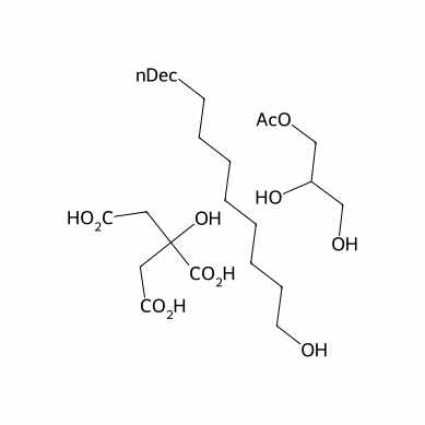 CC(=O)OCC(O)CO.CCCCCCCCCCCCCCCCCCO.O=C(O)CC(O)(CC(=O)O)C(=O)O